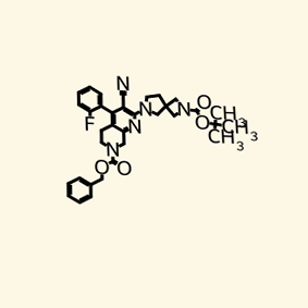 CC(C)(C)OC(=O)N1CC2(CCN(c3nc4c(c(-c5ccccc5F)c3C#N)CCN(C(=O)OCc3ccccc3)C4)C2)C1